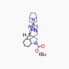 Cc1nsc(N2C3CCC2CC(N2CCC4(CC2)CN(C(=O)OC(C)(C)C)c2ccccc24)C3)n1